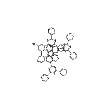 N#Cc1cc(-c2nc(-c3ccccc3)nc(-c3ccccc3)n2)c(-n2c3ccc(-c4nc(-c5ccccc5)nc(-c5ccccc5)n4)cc3c3cc(-c4nc(-c5ccccc5)nc(-c5ccccc5)n4)ccc32)c(-c2cnccc2-n2c3ccccc3c3ccccc32)c1